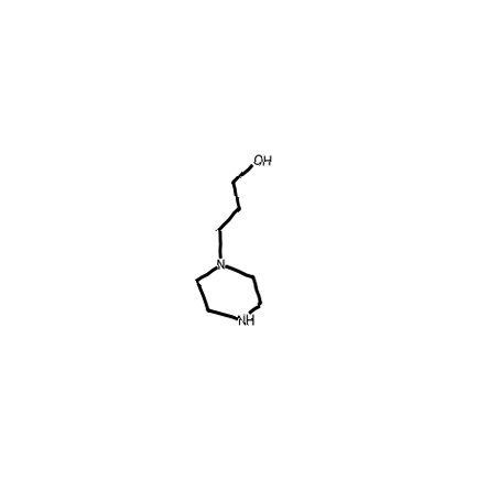 OCC[CH]N1CCNCC1